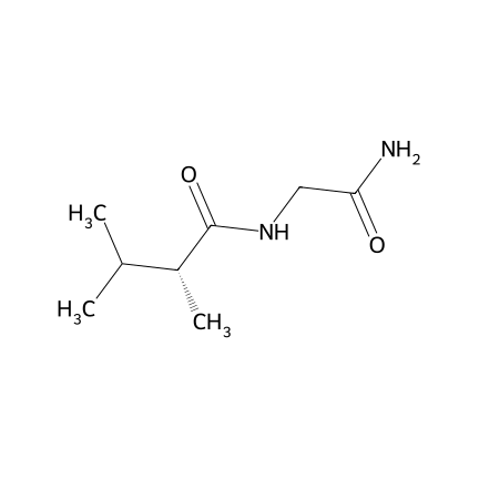 CC(C)[C@@H](C)C(=O)NCC(N)=O